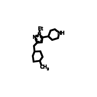 CCn1nc(CC2CCC(C)CC2)cc1C1CCNCC1